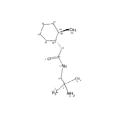 CC(C)(N)CNC(=O)C[C@@H]1CCCC[C@H]1O